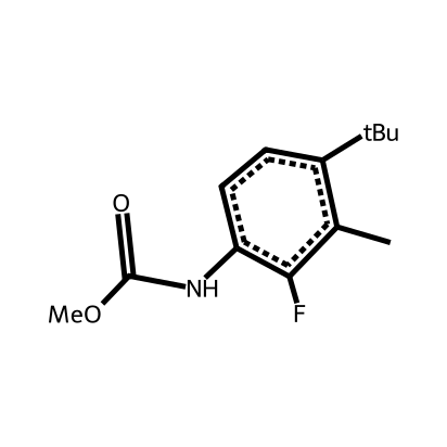 COC(=O)Nc1ccc(C(C)(C)C)c(C)c1F